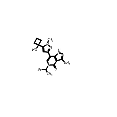 CC(C)C(C)n1cc(-c2cc(C3(O)CCC3)n(C)n2)c2[nH]nc(N)c2c1=O